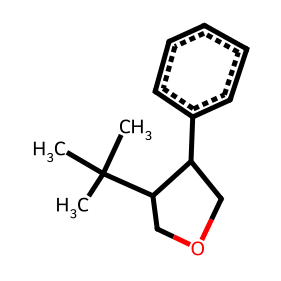 CC(C)(C)C1COCC1c1ccccc1